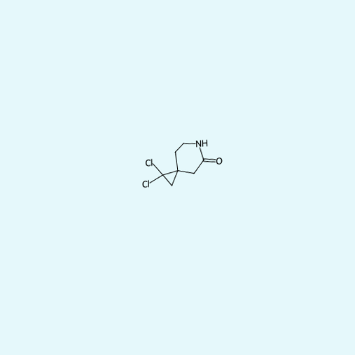 O=C1CC2(CCN1)CC2(Cl)Cl